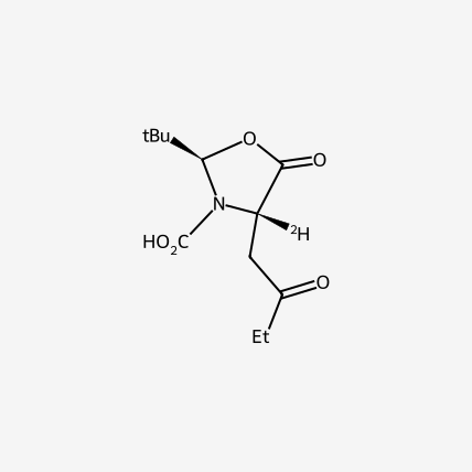 [2H][C@]1(CC(=O)CC)C(=O)O[C@H](C(C)(C)C)N1C(=O)O